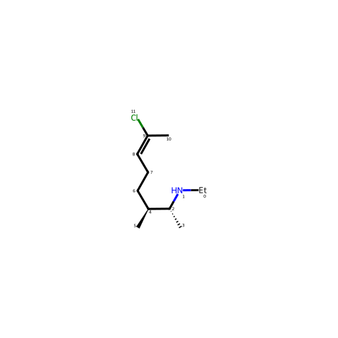 CCN[C@H](C)[C@@H](C)CC/C=C(\C)Cl